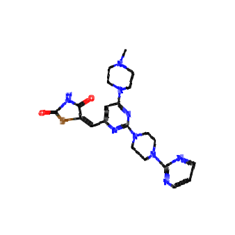 CN1CCN(c2cc(C=C3SC(=O)NC3=O)nc(N3CCN(c4ncccn4)CC3)n2)CC1